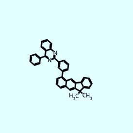 CC1(C)c2ccccc2-c2cc3c(-c4cccc(-c5nc(-c6ccccc6)c6ccccc6n5)c4)cccc3cc21